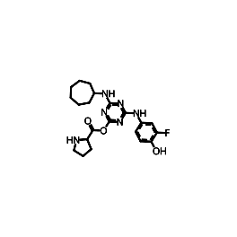 O=C(Oc1nc(Nc2ccc(O)c(F)c2)nc(NC2CCCCCC2)n1)C1CCCN1